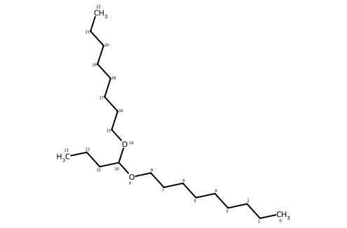 CCCCCCCCCOC(CCC)OCCCCCCCC